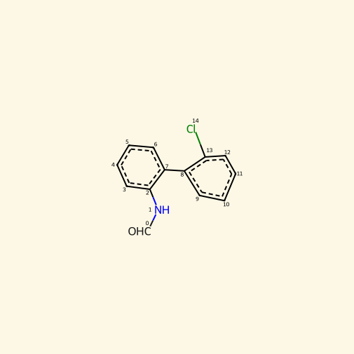 O=CNc1ccccc1-c1ccccc1Cl